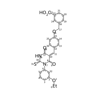 CCOc1cccc(N2C(=O)/C(=C/c3ccc(OCc4cccc(C(=O)O)c4)cc3)C(=O)NC2=S)c1